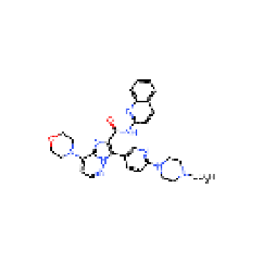 O=C(Nc1ccc2ccccc2n1)c1nc2c(N3CCOCC3)ccnn2c1-c1ccc(N2CCN(C(=O)O)CC2)nc1